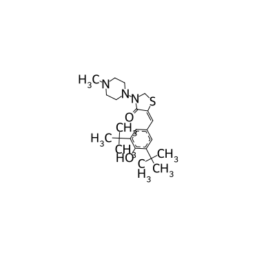 CN1CCN(N2CSC(=Cc3cc(C(C)(C)C)c(O)c(C(C)(C)C)c3)C2=O)CC1